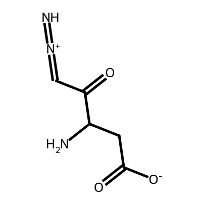 N=[N+]=CC(=O)C(N)CC(=O)[O-]